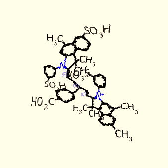 Cc1ccc2c3c(cc(C)c2c1)[N+](c1cccc(S(=O)(=O)O)c1)=C(/C=C/C(=C/C=C1/N(c2cccc(S(=O)(=O)O)c2)c2cc(C)c4cc(S(=O)(=O)O)ccc4c2C1(C)C)c1ccc(C(=O)O)cc1)C3(C)C